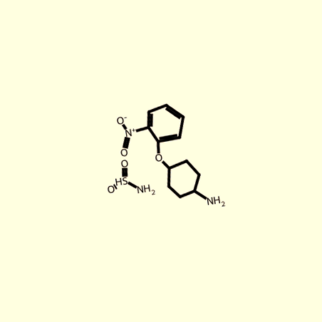 NC1CCC(Oc2ccccc2[N+](=O)[O-])CC1.N[SH](=O)=O